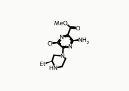 CC[C@H]1CN(c2nc(N)c(C(=O)OC)nc2Cl)CCN1